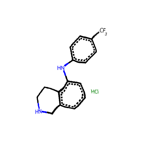 Cl.FC(F)(F)c1ccc(Nc2cccc3c2CCNC3)cc1